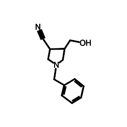 N#CC1CN(Cc2ccccc2)CC1CO